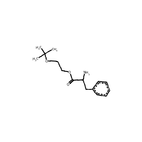 CC(C)(C)OCCOC(=O)C(N)Cc1ccccc1